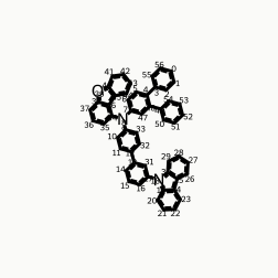 c1ccc(-c2ccc(N(c3ccc(-c4cccc(-n5c6ccccc6c6ccccc65)c4)cc3)c3cccc4oc5ccccc5c34)cc2-c2ccccc2)cc1